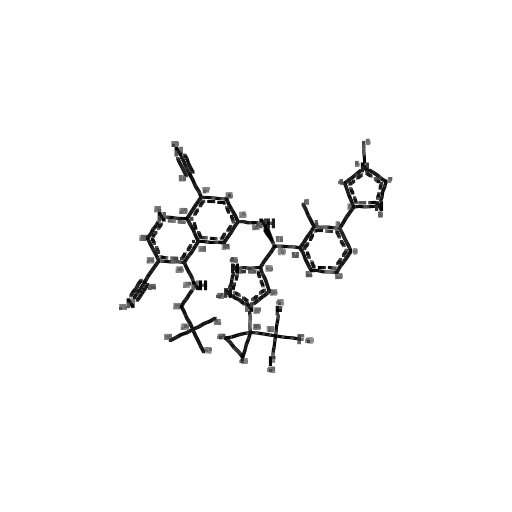 Cc1c(-c2cn(C)cn2)cccc1[C@H](Nc1cc(C#N)c2ncc(C#N)c(NCC(C)(C)C)c2c1)c1cn(C2(C(F)(F)F)CC2)nn1